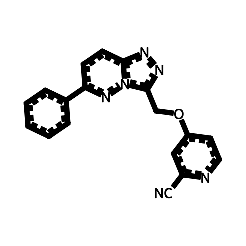 N#Cc1cc(OCc2nnc3ccc(-c4ccccc4)nn23)ccn1